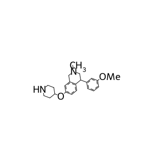 COc1cccc(C2CN(C)Cc3cc(OC4CCNCC4)ccc32)c1